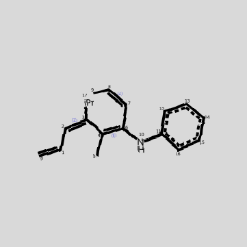 C=C\C=C(/C(C)=C(\C=C/C)Nc1ccccc1)C(C)C